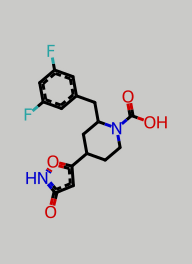 O=C(O)N1CCC(c2cc(=O)[nH]o2)CC1Cc1cc(F)cc(F)c1